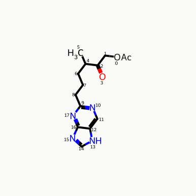 CC(=O)OCC(=O)C(C)CCCc1ncc2[nH]cnc2n1